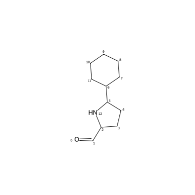 O=CC1CCC(C2CCCCC2)N1